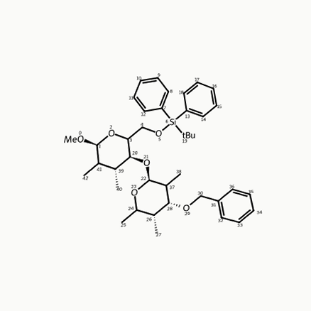 CO[C@H]1OC(CO[Si](c2ccccc2)(c2ccccc2)C(C)(C)C)[C@@H](O[C@@H]2OC(C)[C@@H](C)[C@@H](OCc3ccccc3)C2C)[C@H](C)C1C